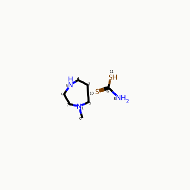 CN1CCCNCC1.NC(=S)S